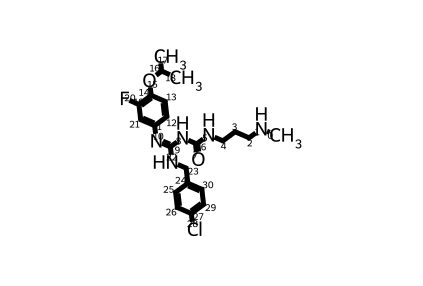 CNCCCNC(=O)N/C(=N\c1ccc(OC(C)C)c(F)c1)NCc1ccc(Cl)cc1